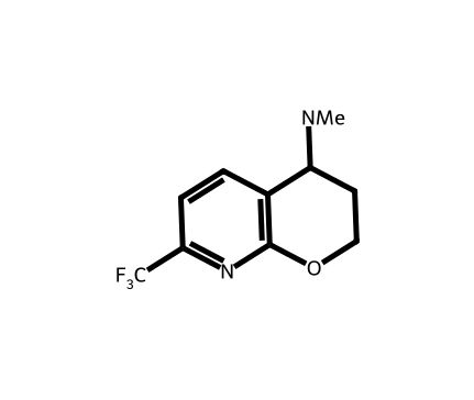 CNC1CCOc2nc(C(F)(F)F)ccc21